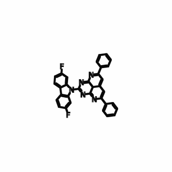 Fc1ccc2c3ccc(F)cc3n(C3=NC4=NC(c5ccccc5)=CC5=CC(c6ccccc6)=NC(=N3)C54)c2c1